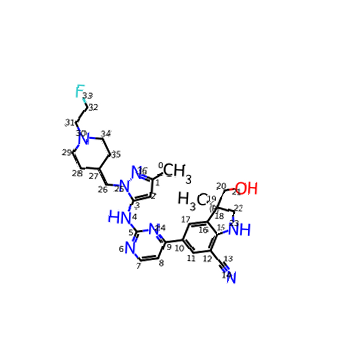 Cc1cc(Nc2nccc(-c3cc(C#N)c4c(c3)[C@@](C)(CO)CN4)n2)n(CC2CCN(CCF)CC2)n1